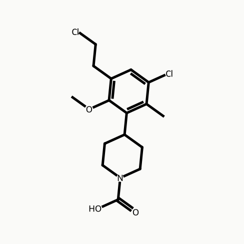 COc1c(CCCl)cc(Cl)c(C)c1C1CCN(C(=O)O)CC1